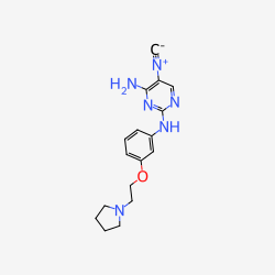 [C-]#[N+]c1cnc(Nc2cccc(OCCN3CCCC3)c2)nc1N